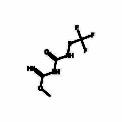 COC(=N)NC(=O)NSC(F)(F)F